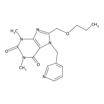 CCCOCc1nc2c(c(=O)n(C)c(=O)n2C)n1Cc1cccnc1